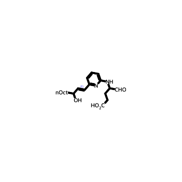 CCCCCCCCC(O)/C=C/c1cccc(NC(C=O)CCC(=O)O)n1